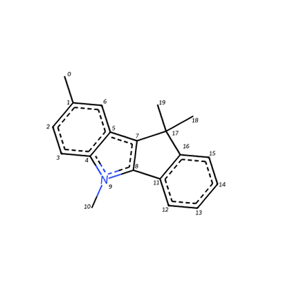 Cc1ccc2c(c1)c1c(n2C)-c2ccccc2C1(C)C